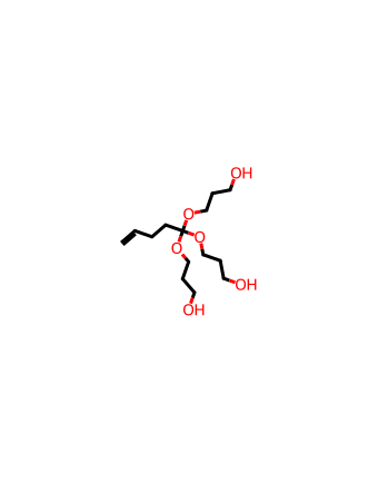 C=CCCC(OCCCO)(OCCCO)OCCCO